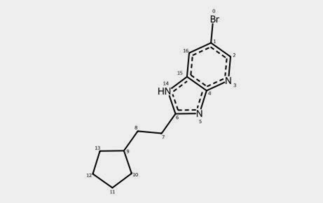 Brc1cnc2nc(CCC3CCCC3)[nH]c2c1